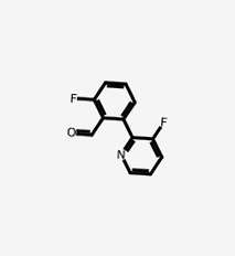 O=Cc1c(F)cccc1-c1ncccc1F